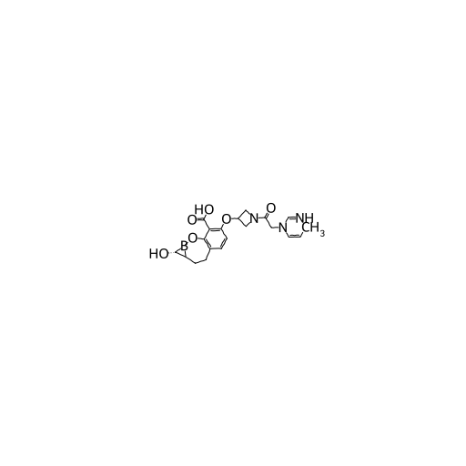 C/C=C\N(C=N)CC(=O)N1CC(Oc2ccc3c(c2C(=O)O)OB2C(CC3)[C@@H]2O)C1